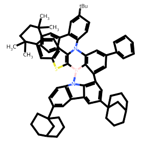 CC(C)(C)c1ccc(N2c3cc(-c4ccccc4)cc4c3B(c3sc5cc6c(cc5c32)C(C)(C)CCC6(C)C)n2c3ccc(C56CCCC(CCC5)C6)cc3c3cc(C56CCCC(CCC5)C6)cc-4c32)c(-c2ccccc2)c1